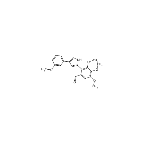 COc1cccc(-c2c[nH]c(-c3c(C=O)cc(OC)c(OC)c3OC)c2)c1